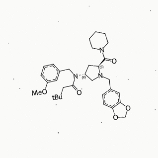 COc1cccc(CN(C(=O)CC(C)(C)C)[C@@H]2C[C@@H](C(=O)N3CCCCC3)N(Cc3ccc4c(c3)OCO4)C2)c1